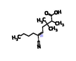 CCCC/C(C#N)=C\CC(C)(C)C(C)C(=O)O